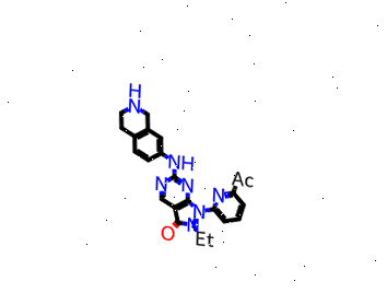 CCn1c(=O)c2cnc(Nc3ccc4c(c3)CNCC4)nc2n1-c1cccc(C(C)=O)n1